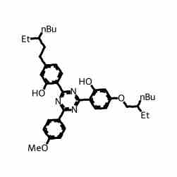 CCCCC(CC)CCc1ccc(-c2nc(-c3ccc(OC)cc3)nc(-c3ccc(OCC(CC)CCCC)cc3O)n2)c(O)c1